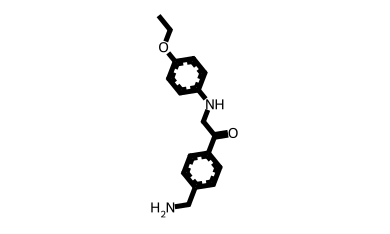 CCOc1ccc(NCC(=O)c2ccc(CN)cc2)cc1